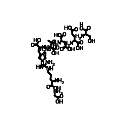 CC(O)C(N)C(=O)O.N=C(N)NCCCC(N)C(=O)O.NC(CC(=O)O)C(=O)O.NC(CCC(=O)O)C(=O)O.NC(CO)C(=O)O.NC(Cc1c[nH]cn1)C(=O)O.NCC(=O)O